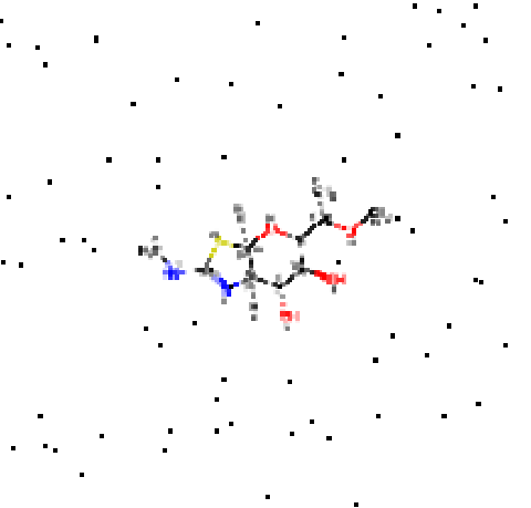 CNC1=N[C@@H]2[C@@H](O)[C@H](O)C([C@H](C)OC)O[C@@H]2S1